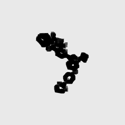 O=C(NC1(C(=O)O)C2CC3CC(C2)CC1C3)c1ccc(-c2cn(C3CCC3)c3cc(OC4CCN(c5ncccn5)CC4)ccc23)nc1C(F)(F)F